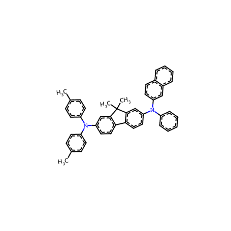 Cc1ccc(N(c2ccc(C)cc2)c2ccc3c(c2)C(C)(C)c2cc(N(c4ccccc4)c4ccc5ccccc5c4)ccc2-3)cc1